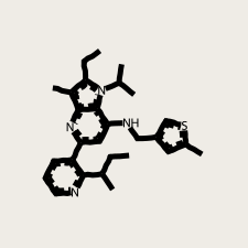 CCc1c(C)c2nc(-c3cccnc3C(C)CC)cc(NCc3csc(C)c3)c2n1C(C)C